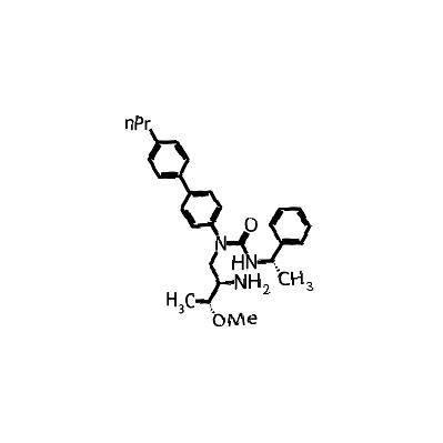 CCCc1ccc(-c2ccc(N(C[C@@H](N)[C@@H](C)OC)C(=O)N[C@@H](C)c3ccccc3)cc2)cc1